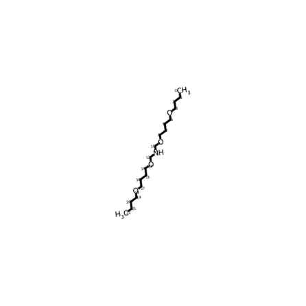 CCCCOCCCCOCNCOCCCCOCCCC